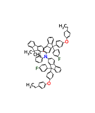 C=Cc1ccc(Oc2ccc(C3(c4ccc(F)cc4)c4ccccc4-c4ccc(N(c5ccc6c(c5)C(c5ccc(F)cc5)(c5ccc(Oc7ccc(C=C)cc7)cc5)c5ccccc5-6)c5ccccc5-c5cccc6c5C(C)(C)c5ccccc5-6)cc43)cc2)cc1